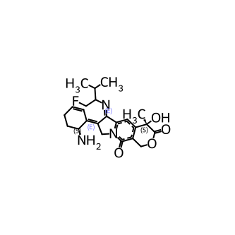 CC(C)C(CF)/N=C1\C(=C2/C=CCC[C@@H]2N)Cn2c1cc1c(c2=O)COC(=O)[C@@]1(C)O